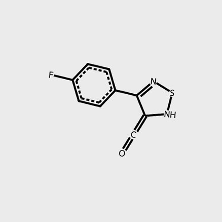 O=C=C1NSN=C1c1ccc(F)cc1